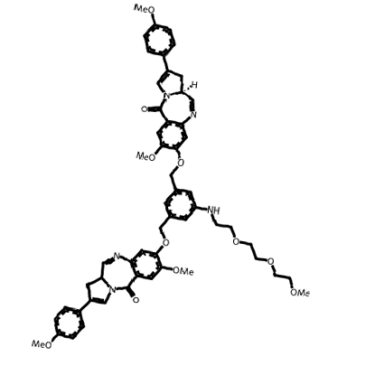 COCCOCCOCCNc1cc(COc2cc3c(cc2OC)C(=O)N2C=C(c4ccc(OC)cc4)CC2C=N3)cc(COc2cc3c(cc2OC)C(=O)N2C=C(c4ccc(OC)cc4)C[C@H]2C=N3)c1